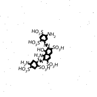 Nc1cc(N=Nc2c(S(=O)(=O)O)cc3cc(S(=O)(=O)O)c(N=Nc4cc(N)c(S(=O)(=O)O)cc4S(=O)(=O)O)c(O)c3c2N)c(S(=O)(=O)O)cc1S(=O)(=O)O